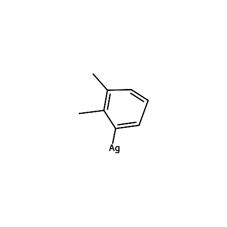 Cc1ccc[c]([Ag])c1C